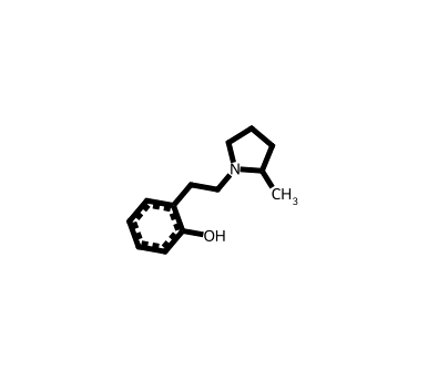 CC1CCCN1CCc1ccccc1O